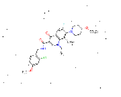 CCOC(=O)OC1CCN(c2c(F)cc3c(=O)c(C(=O)NCc4ccc(OC(F)(F)F)cc4Cl)cn(CC(F)(F)F)c3c2OC)CC1